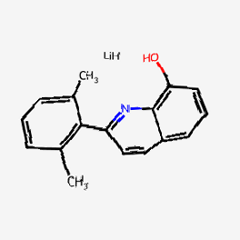 Cc1cccc(C)c1-c1ccc2cccc(O)c2n1.[LiH]